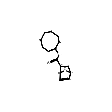 O=C(OC1CCCCCCC1)C1CC2C=CC1O2